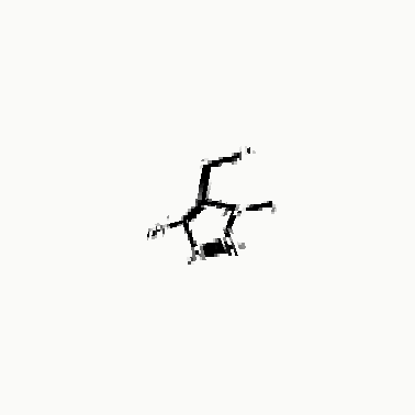 CCCc1nnn(C)c1CC(C)C